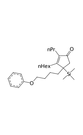 CCCCCCC1=C(CCC)C(=O)CC1(CCCCOc1ccccc1)[Si](C)(C)C